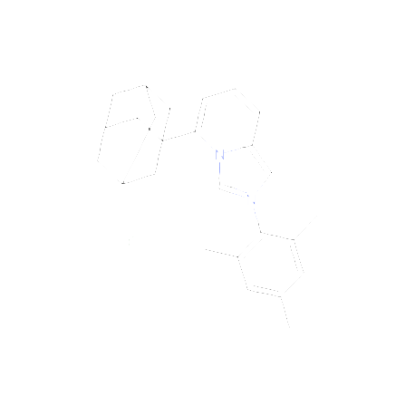 Cc1cc(C)c(-[n+]2cc3cccc(C45CC6CC(CC(C6)C4)C5)n3c2)c(C)c1.[Cl-]